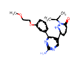 COCCOc1cccc(-c2nc(N)ncc2-c2ccc(=O)n(C(C)C)n2)c1